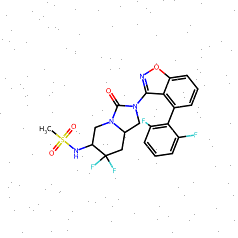 CS(=O)(=O)NC1CN2C(=O)N(c3noc4cccc(-c5c(F)cccc5F)c34)CC2CC1(F)F